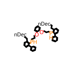 CCCCCCCCCCCCc1cccc(-c2ccccc2)c1PCCCOc1ccccc1OCCCPc1c(CCCCCCCCCCCC)cccc1-c1ccccc1